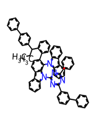 CCC(c1ccc(-c2ccccc2)cc1)c1ccccc1-c1c(C)cc2c3ccccc3n(-c3nc(-c4ccccc4)nc(-c4cccc(-c5ccccc5)c4)n3)c2c1-n1c2ccccc2c2ccccc21